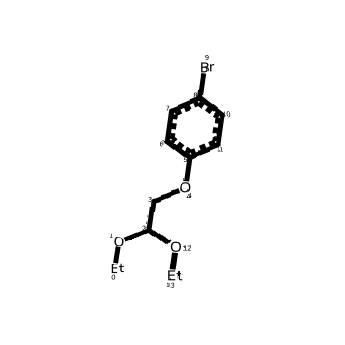 CCOC(COc1ccc(Br)cc1)OCC